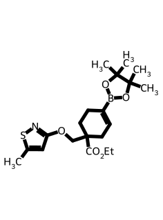 CCOC(=O)C1(COc2cc(C)sn2)CC=C(B2OC(C)(C)C(C)(C)O2)CC1